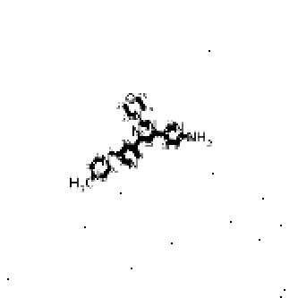 CN1CCN(Cc2cncc(-c3cc(-c4ccc(N)nc4)nc(N4CCOCC4)n3)c2)CC1